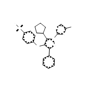 CCOC(=O)c1csc(-n2nc(-c3ccccc3)c(Oc3ccc(S(N)(=O)=O)cc3)c2C2CCCC2)n1